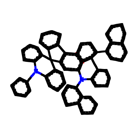 c1ccc(N2c3ccccc3C3(c4ccccc4-c4ccc(N(c5ccccc5-c5ccccc5-c5cccc6ccccc56)c5cccc6ccccc56)cc43)c3ccccc32)cc1